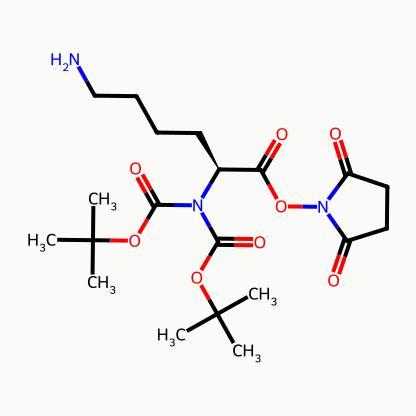 CC(C)(C)OC(=O)N(C(=O)OC(C)(C)C)[C@@H](CCCCN)C(=O)ON1C(=O)CCC1=O